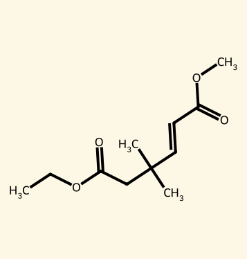 CCOC(=O)CC(C)(C)C=CC(=O)OC